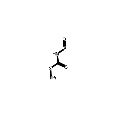 CCCSC(=S)NP=O